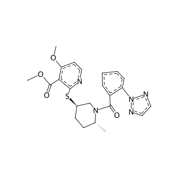 COC(=O)c1c(OC)ccnc1S[C@@H]1CC[C@@H](C)N(C(=O)c2ccccc2-n2nccn2)C1